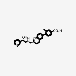 Cc1cc(C(=O)O)ccc1-c1ccc2c(c1)CC[C@@H](CNC[C@@H](O)c1cccnc1)O2